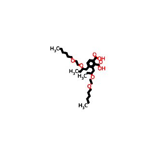 CCCCCCOCCOC(CC)Cc1ccc(C(=O)O)c(C(=O)O)c1CC(CC)OCCOCCCCCC